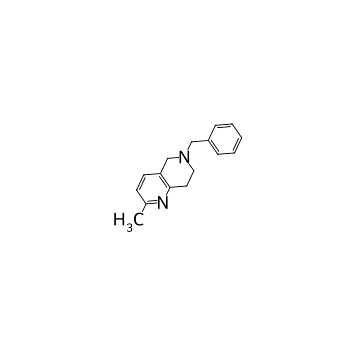 Cc1ccc2c(n1)CCN(Cc1ccccc1)C2